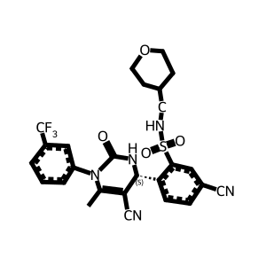 CC1=C(C#N)[C@@H](c2ccc(C#N)cc2S(=O)(=O)NCC2CCOCC2)NC(=O)N1c1cccc(C(F)(F)F)c1